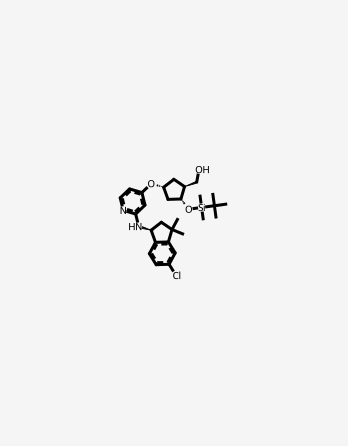 CC1(C)C[C@H](Nc2cc(O[C@@H]3C[C@@H](CO)[C@H](O[Si](C)(C)C(C)(C)C)C3)ccn2)c2ccc(Cl)cc21